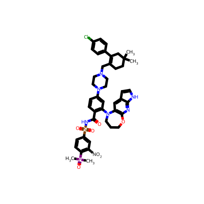 CC1(C)CCC(CN2CCN(c3ccc(C(=O)NS(=O)(=O)c4ccc(P(C)(C)=O)c([N+](=O)[O-])c4)c(N4CCCOc5nc6[nH]ccc6cc54)c3)CC2)=C(c2ccc(Cl)cc2)C1